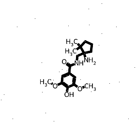 COc1cc(C(=O)NCC2(N)CCCC2(C)C)cc(OC)c1O